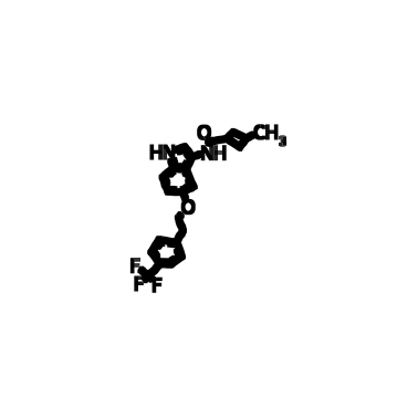 CC1CC(C(=O)Nc2c[nH]c3ccc(OCCc4ccc(C(F)(F)F)cc4)cc23)C1